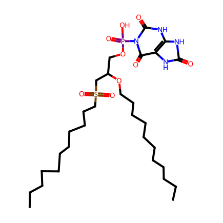 CCCCCCCCCCCOC(COP(=O)(O)n1c(=O)[nH]c2[nH]c(=O)[nH]c2c1=O)CS(=O)(=O)CCCCCCCCCCC